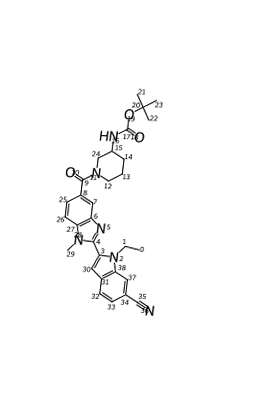 CCn1c(-c2nc3cc(C(=O)N4CCCC(NC(=O)OC(C)(C)C)C4)ccc3n2C)cc2ccc(C#N)cc21